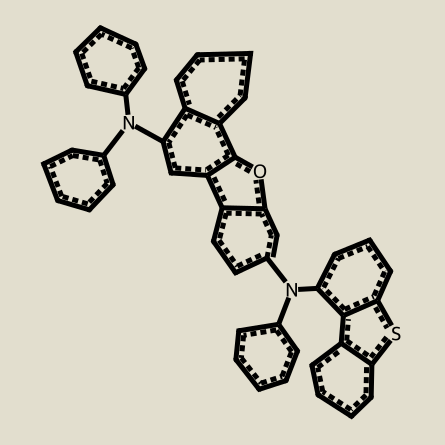 c1ccc(N(c2ccccc2)c2cc3c4ccc(N(c5ccccc5)c5cccc6sc7ccccc7c56)cc4oc3c3ccccc23)cc1